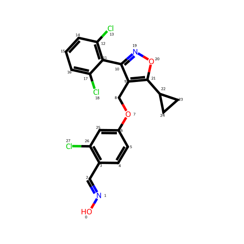 ON=Cc1ccc(OCc2c(-c3c(Cl)cccc3Cl)noc2C2CC2)cc1Cl